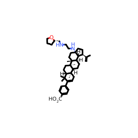 C=C(C)[C@@H]1CC[C@]2(NCCNC[C@@H]3CCCO3)CC[C@]3(C)[C@H](CC[C@@H]4[C@@]5(C)CC=C(c6ccc(C(=O)O)cc6)C(C)(C)[C@@H]5CC[C@]43C)[C@@H]12